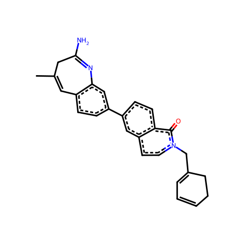 CC1=Cc2ccc(-c3ccc4c(=O)n(CC5=CC=CCC5)ccc4c3)cc2N=C(N)C1